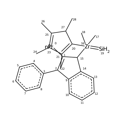 CCCC1=C(c2ccccc2)c2ccccc2[CH]1[Zr]([CH3])([CH3])(=[SiH2])[C]1=C(C)C(C)=C(C)C1C